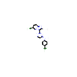 Cc1nc2ccc(C(F)(F)F)cn2c1-c1nccc(Nc2ccc(C(F)(F)F)cc2)n1